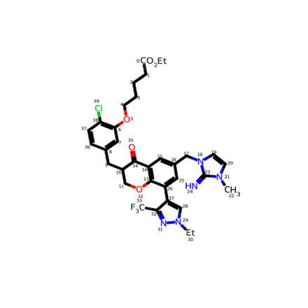 CCOC(=O)CCCCOc1cc(CC2COc3c(cc(Cn4ccn(C)c4=N)cc3-c3cn(CC)nc3C(F)(F)F)C2=O)ccc1Cl